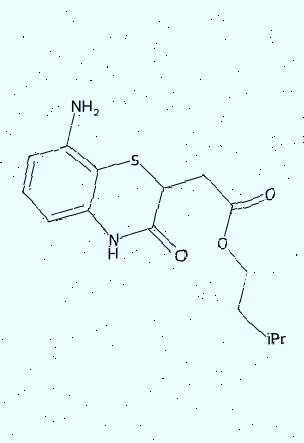 CC(C)CCOC(=O)CC1Sc2c(N)cccc2NC1=O